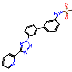 CS(=O)(=O)Nc1cccc(-c2cccc(-n3nnc(-c4ccccn4)n3)c2)c1